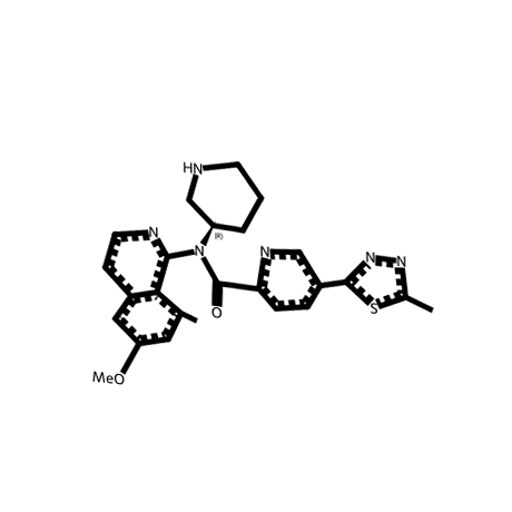 COc1cc(C)c2c(N(C(=O)c3ccc(-c4nnc(C)s4)cn3)[C@@H]3CCCNC3)nccc2c1